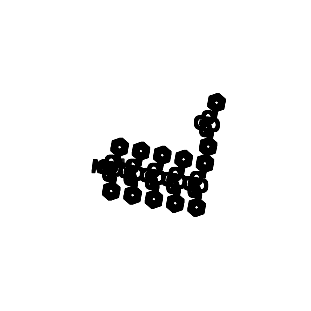 O=P([O-])(OCc1ccccc1)OCc1ccccc1.O=P([O-])(OCc1ccccc1)OCc1ccccc1.O=P([O-])(OCc1ccccc1)OCc1ccccc1.O=P([O-])(OCc1ccccc1)OCc1ccccc1.O=P([O-])(OCc1ccccc1)OCc1ccccc1.O=P([O-])(OCc1ccccc1)OCc1ccccc1.[Mo+6]